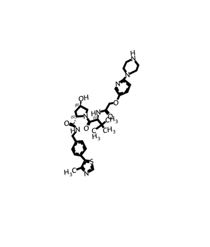 Cc1ncsc1-c1ccc(CNC(=O)[C@@H]2C[C@@H](O)CN2C(=O)[C@@H](NC(=O)COc2ccc(N3CCNCC3)nc2)C(C)(C)C)cc1